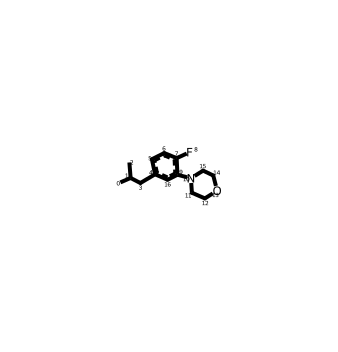 CC(C)Cc1ccc(F)c(N2CCOCC2)c1